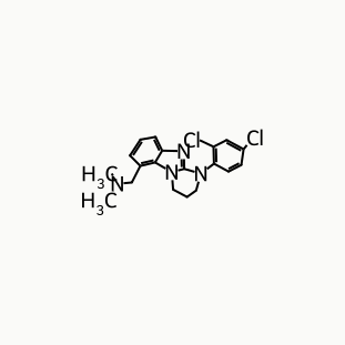 CN(C)Cc1cccc2nc3n(c12)CCCN3c1ccc(Cl)cc1Cl